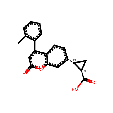 Cc1ccccc1-c1cc(=O)oc2cc([C@@H]3C[C@H]3C(=O)O)ccc12